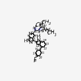 C=C/C(=C\C(=C/C)c1cc2c(-c3cc4c(-c5ccc(F)cc5)cccc4[nH]3)n[nH]c2cn1)CNCC